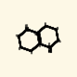 C1CNC2=C(C1)[N]CCC2